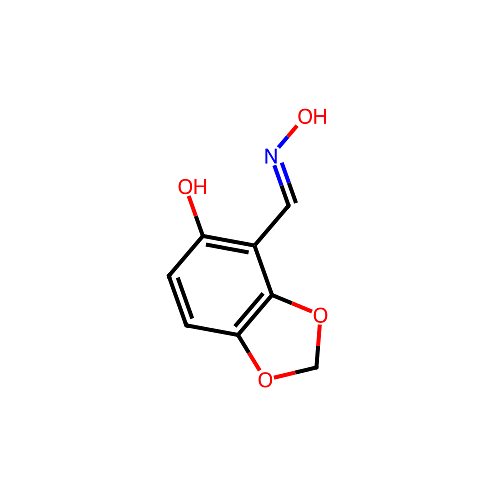 O/N=C/c1c(O)ccc2c1OCO2